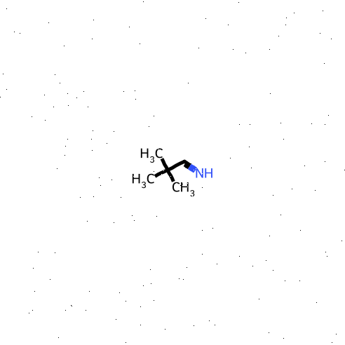 CC(C)(C)C=N